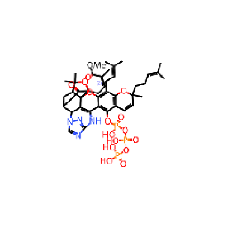 COC(=O)/C(C)=C\CC12OC(C)(C)C3CC(C1=O)C1C4=C(Nc5ncn1n5)c1c(OP(=O)(O)OP(=O)(O)OP(=O)(O)O)c5c(c(CC=C(C)C)c1OC432)OC(C)(CCC=C(C)C)C=C5